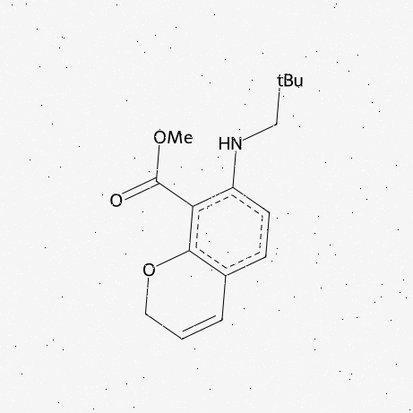 COC(=O)c1c(NCC(C)(C)C)ccc2c1OCC=C2